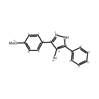 COc1ccc(-c2n[nH]c(-c3ccccc3)c2C(C)=O)cc1